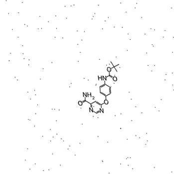 CC(C)(C)OC(=O)Nc1ccc(Oc2cc(C(N)=O)ncn2)cc1